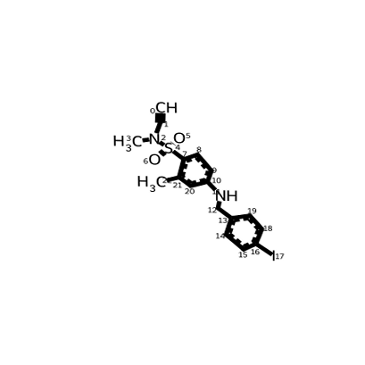 C#CN(C)S(=O)(=O)c1ccc(NCc2ccc(I)cc2)cc1C